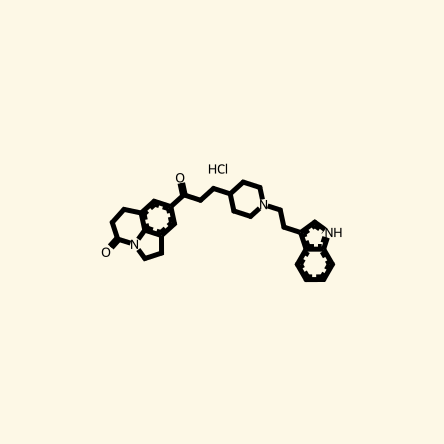 Cl.O=C(CCC1CCN(CCc2c[nH]c3ccccc23)CC1)c1cc2c3c(c1)CCN3C(=O)CC2